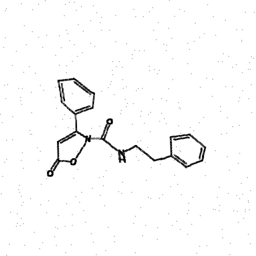 O=C(NCCc1ccccc1)n1oc(=O)cc1-c1ccccc1